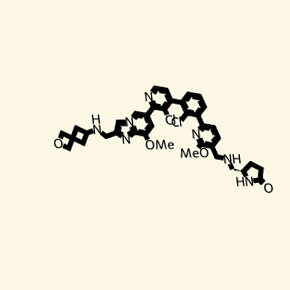 COc1nc(-c2cccc(-c3ccnc(-c4cc(OC)c5nc(CNC6CC7(COC7)C6)cn5c4)c3Cl)c2Cl)ccc1CNC[C@@H]1CCC(=O)N1